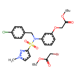 CC(C)(C)OC(=O)CBr.Cn1ccc(S(=O)(=O)N(Cc2ccc(Cl)cc2)c2cccc(OCC(=O)OC(C)(C)C)c2)n1